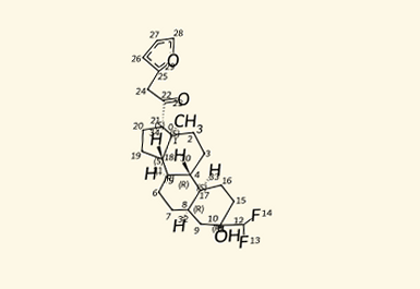 C[C@]12CC[C@H]3[C@@H](CC[C@@H]4C[C@@](O)(C(F)F)CC[C@@H]43)[C@@H]1CC[C@@H]2C(=O)Cc1ccco1